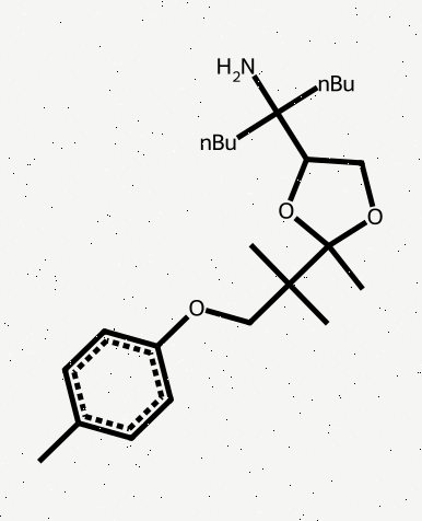 CCCCC(N)(CCCC)C1COC(C)(C(C)(C)COc2ccc(C)cc2)O1